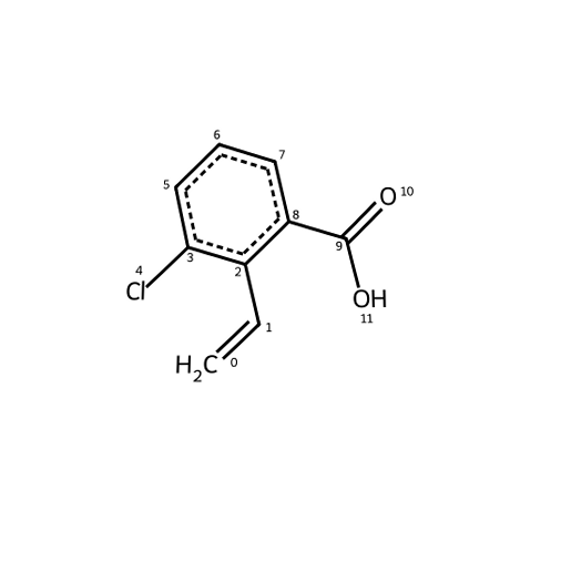 C=Cc1c(Cl)cccc1C(=O)O